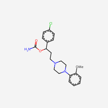 COc1ccccc1N1CCN(CCC(OC(N)=O)c2ccc(Cl)cc2)CC1